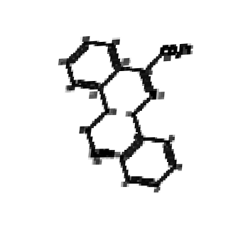 CCOC(=O)C(=NCc1ccccc1)c1ccccc1CCNC